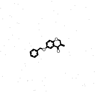 C=C1COc2ccc(OCc3ccccc3)cc2C1=O